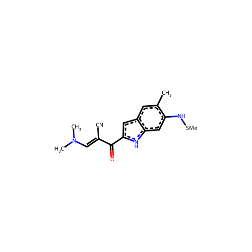 CSNc1cc2[nH]c(C(=O)/C(C#N)=C/N(C)C)cc2cc1C